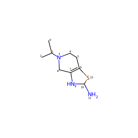 CC(C)N1CCC2=C(C1)NC(N)S2